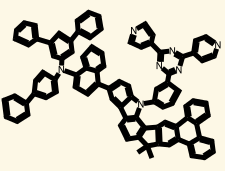 CC1(C)c2cc3c4ccccc4c4ccccc4c3cc2-c2c1ccc1c3cc(-c4ccc(N(c5ccc(-c6ccccc6)cc5)c5cc(-c6ccccc6)cc(-c6ccccc6)c5)c5ccccc45)ccc3n(-c3cccc(-c4nc(-c5ccncc5)nc(-c5ccncc5)n4)c3)c21